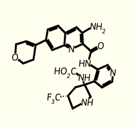 Nc1cc2ccc(C3=CCOCC3)cc2nc1C(=O)Nc1cnccc1[C@]1(NC(=O)O)CNC[C@H](C(F)(F)F)C1